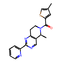 Cc1csc(C(=O)N2CCc3nc(-c4ccccn4)ncc3C2C)c1